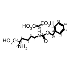 N[C@@H](CCCCNC(=O)OCc1ccccc1)C(=O)O.O=C(O)CC(=O)O